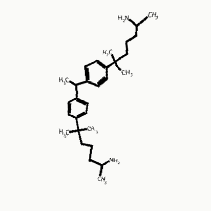 CC(N)CCCC(C)(C)c1ccc(C(C)c2ccc(C(C)(C)CCCC(C)N)cc2)cc1